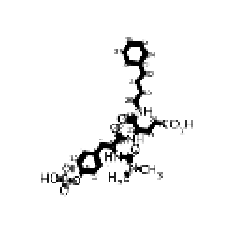 CN(C)C(=O)NC(Cc1ccc(OP(=O)(O)O)cc1)C(=O)NC(CCC(=O)O)C(=O)NCCCCC1CCCCC1